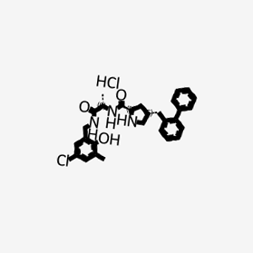 Cc1cc(Cl)cc(CNC(=O)[C@H](C)NC(=O)[C@H]2C[C@H](Cc3ccccc3-c3ccccc3)CN2)c1O.Cl